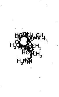 CC[C@H]1OC(=O)[C@H](C)C(=O)[C@H](C)[C@@H](O[C@@H]2O[C@H](C)C[C@H](N(C)CCc3cn(P)nn3)[C@H]2O)[C@@]2(C)C[C@@H](CO2)/C(=N\OCCN(C)C)[C@H](C)[C@@H](O)[C@]1(C)O